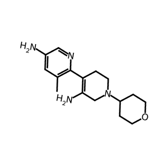 Cc1cc(N)cnc1C1=C(N)CN(C2CCOCC2)CC1